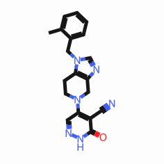 Cc1ccccc1Cn1cnc2c1CCN(c1cn[nH]c(=O)c1C#N)C2